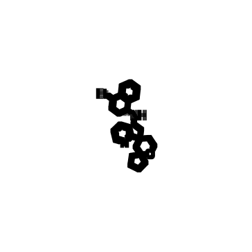 CCC1=CC[C@H](NCCC2(c3ccccn3)CCOC3(CCCC3)C2)c2ccccc21